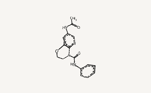 CC(=O)Nc1cnc2c(c1)OCCN2C(=O)Nc1ccccc1